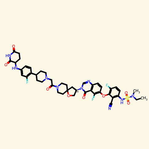 CCN(C)S(=O)(=O)Nc1ccc(F)c(Oc2ccc3ncn([C@H]4COC5(CCN(C(=O)CN6CCC(c7ccc(NC8CCC(=O)NC8=O)cc7F)CC6)CC5)C4)c(=O)c3c2F)c1C#N